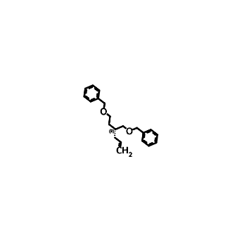 C=CC[C@H](CCOCc1ccccc1)COCc1ccccc1